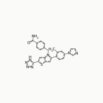 Cc1cc(-n2ccnc2)ccc1-c1cc2sc(-c3nnn[nH]3)cc2n1Cc1ccc(C(N)=O)cc1